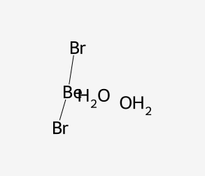 O.O.[Br][Be][Br]